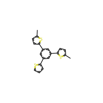 Cc1ccc(-c2cc(-c3cccs3)cc(-c3ccc(C)s3)c2)s1